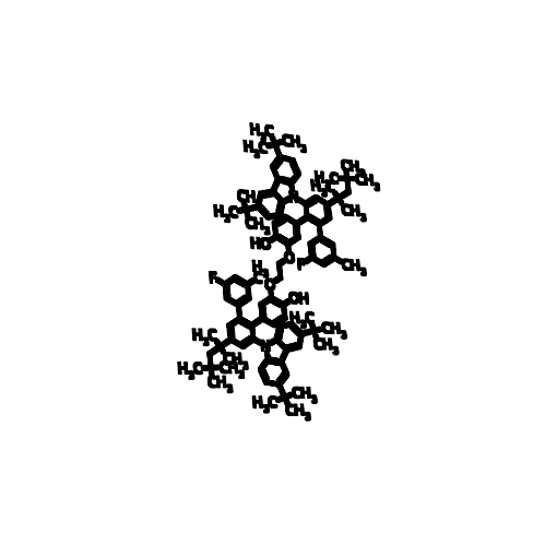 Cc1cc(F)cc(-c2cc(C(C)(C)CC(C)(C)C)cc(-n3c4ccc(C(C)(C)C)cc4c4cc(C(C)(C)C)ccc43)c2-c2ccc(O)c(OCCOc3cc(-c4c(-c5cc(C)cc(F)c5)cc(C(C)(C)CC(C)(C)C)cc4-n4c5ccc(C(C)(C)C)cc5c5cc(C(C)(C)C)ccc54)ccc3O)c2)c1